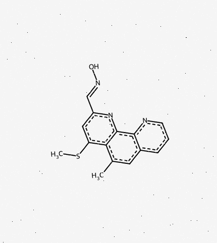 CSc1cc(C=NO)nc2c1c(C)cc1cccnc12